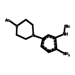 CC(=O)N1CCN(c2ccc(N)c(NC(C)(C)C)c2)CC1